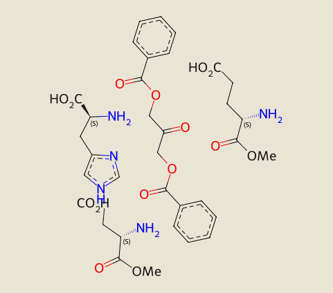 COC(=O)[C@@H](N)CC(=O)O.COC(=O)[C@@H](N)CCC(=O)O.N[C@@H](Cc1c[nH]cn1)C(=O)O.O=C(COC(=O)c1ccccc1)COC(=O)c1ccccc1